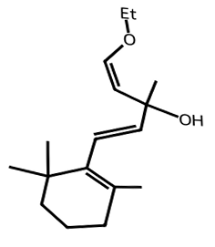 CCO/C=C\C(C)(O)C=CC1=C(C)CCCC1(C)C